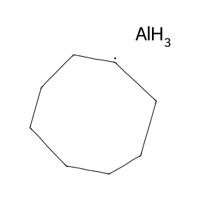 [AlH3].[CH]1CCCCCCC1